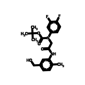 Cc1ccc(CO)cc1NC(=O)CN(C(=O)OC(C)(C)C)c1ccc(F)c(F)c1